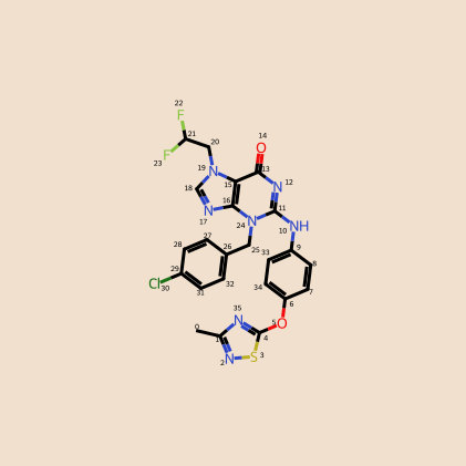 Cc1nsc(Oc2ccc(Nc3nc(=O)c4c(ncn4CC(F)F)n3Cc3ccc(Cl)cc3)cc2)n1